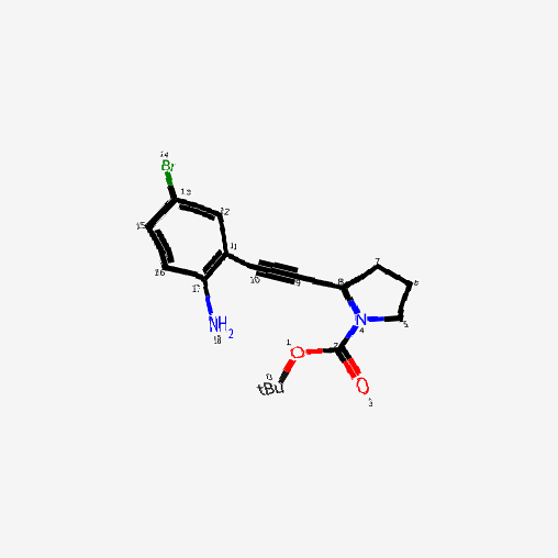 CC(C)(C)OC(=O)N1CCCC1C#Cc1cc(Br)ccc1N